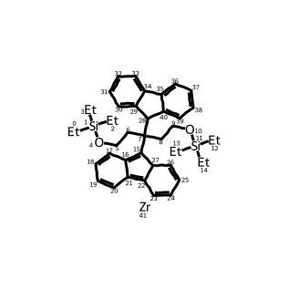 CC[Si](CC)(CC)OCCC(CCO[Si](CC)(CC)CC)(C1=c2ccccc2=C2C=CC=CC21)C1c2ccccc2-c2ccccc21.[Zr]